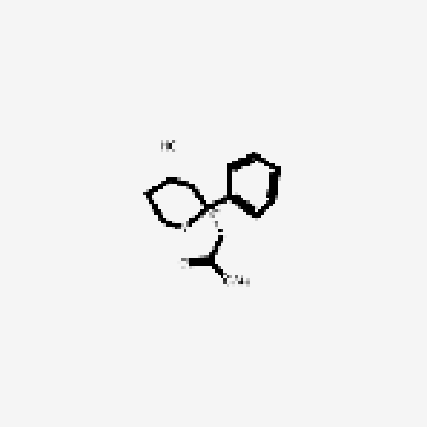 COC(=O)C[C@@]1(c2ccccc2)CCCCN1.Cl